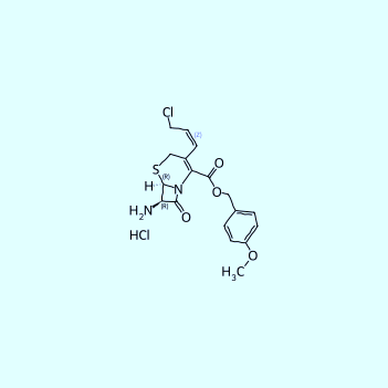 COc1ccc(COC(=O)C2=C(/C=C\CCl)CS[C@@H]3[C@H](N)C(=O)N23)cc1.Cl